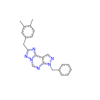 Cc1ccc(Cc2nc3c4cnn(Cc5ccccc5)c4ncn3n2)cc1C